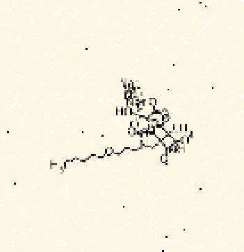 CCCCCOCCCN(CC(C(=O)[O-])(C(=O)O)C(C)(C(=O)[O-])C(=O)[O-])C(=O)CC(C(=O)[O-])S(=O)(=O)O.[Na+].[Na+].[Na+].[Na+]